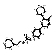 Cc1cnc(-c2ccc(NC(=O)NCCN3CCOCC3)cc2)nc1N1CCOCC1